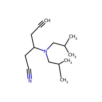 C#CCC(CC#N)N(CC(C)C)CC(C)C